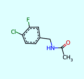 CC(=O)NCc1ccc(Cl)c(F)c1